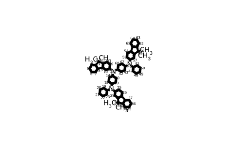 CC1(C)c2ccccc2-c2cc(N(c3ccc(N(c4ccccc4)c4ccc5c(c4)C(C)(C)c4ccccc4-5)cc3)c3ccc(N(c4ccccc4)c4ccc5c(c4)C(C)(C)c4ccccc4-5)cc3)ccc21